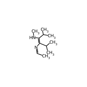 C/C=N\C(=C(/NC)C(C)C)C(C)C